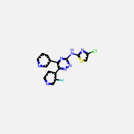 Fc1cnccc1-c1nnc(Nc2nc(Cl)cs2)nc1-c1cccnc1